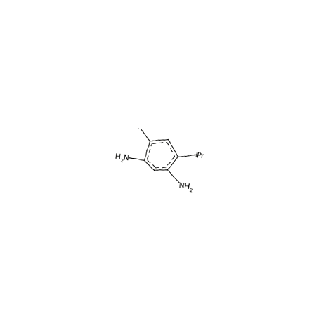 [CH2]c1cc(C(C)C)c(N)cc1N